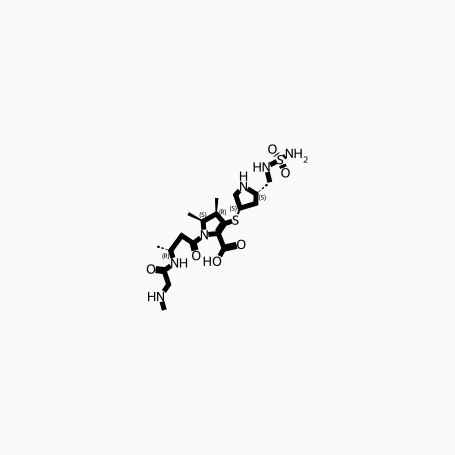 CNCC(=O)N[C@H](C)CC(=O)N1C(C(=O)O)=C(S[C@@H]2CN[C@H](CNS(N)(=O)=O)C2)[C@H](C)[C@@H]1C